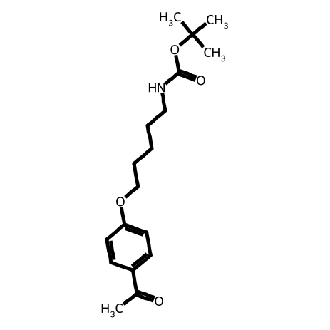 CC(=O)c1ccc(OCCCCCNC(=O)OC(C)(C)C)cc1